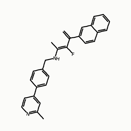 C=C(/C(F)=C(\C)NCc1ccc(-c2ccnc(C)c2)cc1)c1ccc2ccccc2c1